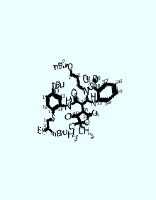 CCCCOCCCN1C(C(C(=O)Nc2cc(C(C)(C)C)ccc2SCC(CC)CCCC)C2C(=O)OC(C)(C)C2=O)Nc2ccccc2S1(=O)=O